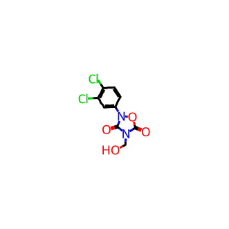 O=c1on(-c2ccc(Cl)c(Cl)c2)c(=O)n1CO